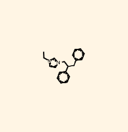 CCn1cc[n+](CC(Cc2ccccc2)c2ccccc2)c1